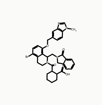 Cn1cnc2cc(COc3ccc(Br)c4c3C(CN3Cc5ccccc5C3=O)N(C(=O)C3CCCCC3C(=O)O)CC4)ccc21